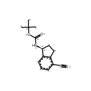 [C-]#[N+]c1cccc2c1CC[C@@H]2NC(=O)OC(C)(C)C